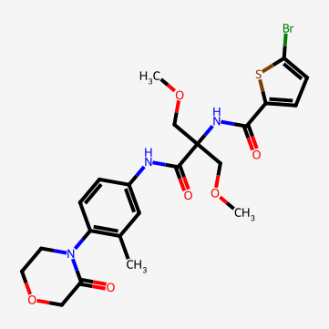 COCC(COC)(NC(=O)c1ccc(Br)s1)C(=O)Nc1ccc(N2CCOCC2=O)c(C)c1